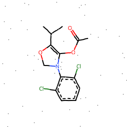 CC(=O)OC1=C(C(C)C)OCN1c1c(Cl)cccc1Cl